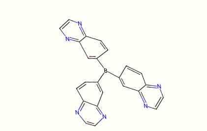 c1cnc2cc(B(c3ccc4nccnc4c3)c3ccc4nccnc4c3)ccc2n1